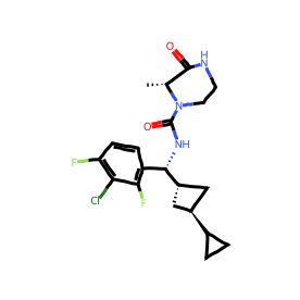 C[C@@H]1C(=O)NCCN1C(=O)N[C@@H](c1ccc(F)c(Cl)c1F)[C@H]1C[C@H](C2CC2)C1